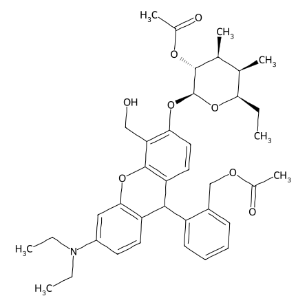 CC[C@H]1O[C@@H](Oc2ccc3c(c2CO)Oc2cc(N(CC)CC)ccc2C3c2ccccc2COC(C)=O)[C@H](OC(C)=O)[C@@H](C)[C@H]1C